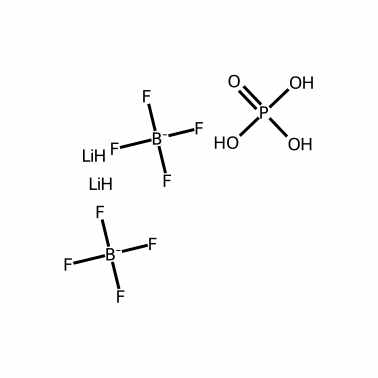 F[B-](F)(F)F.F[B-](F)(F)F.O=P(O)(O)O.[LiH].[LiH]